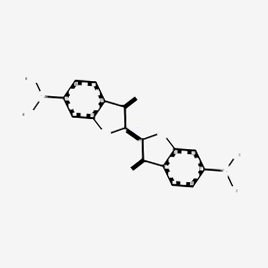 CCCN(CCC)c1ccc2c(c1)O/C(=C1/Oc3cc(N(CCC)CCC)ccc3C1=O)C2=O